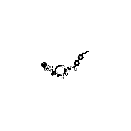 C=C1CNC(=O)C(NC(=C)CNC(=O)c2ccc(-c3ccc(CCCC)cc3)cc2)COCCCCC(C(=O)NCB2OC3CC4CC(C3O2)C4(C)C)N1